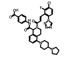 O=C(O)c1ccc(NC(=O)C2c3cccc(N4CCC(N5CCCC5)CC4)c3CCN2C(=O)C=Cc2c(-n3cnnn3)ccc(Cl)c2F)cc1